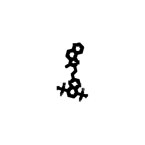 Cn1c(CCc2cnc3c(C(F)(F)F)ccc(C(F)(F)F)c3n2)nc2c3cccnc3ccc21